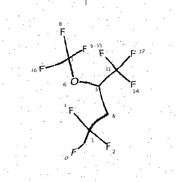 FC(F)(F)CC(OC(F)(F)F)C(F)(F)F